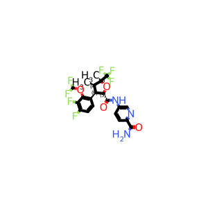 C[C@@H]1[C@H](c2ccc(F)c(F)c2OC(F)F)[C@@H](C(=O)Nc2ccc(C(N)=O)nc2)O[C@]1(C)C(F)(F)F